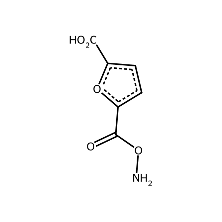 NOC(=O)c1ccc(C(=O)O)o1